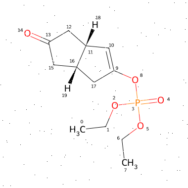 CCOP(=O)(OCC)OC1=C[C@H]2CC(=O)C[C@H]2C1